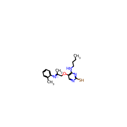 CCCCNc1nc(S)ncc1OC/C(C)=N/c1ccccc1C